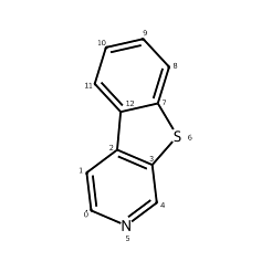 [c]1cc2c(cn1)sc1ccccc12